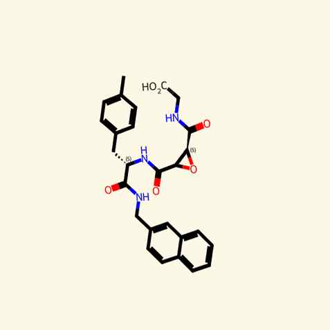 Cc1ccc(C[C@H](NC(=O)C2O[C@@H]2C(=O)NCC(=O)O)C(=O)NCc2ccc3ccccc3c2)cc1